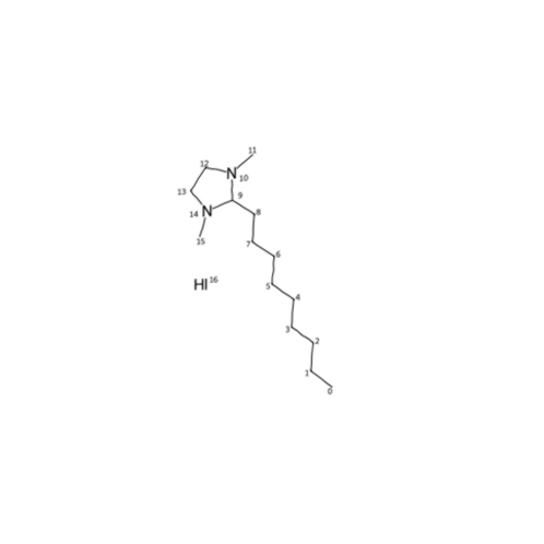 CCCCCCCCCC1N(C)CCN1C.I